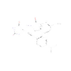 COc1ccc2c(c1)C(=O)N(C[C@]1(C#Cc3ccc(C(C)N)cc3)NC(=O)NC1=O)C2